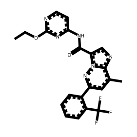 CCOc1nccc(NC(=O)c2cnc3c(C)cc(-c4ccccc4C(F)(F)F)nn23)n1